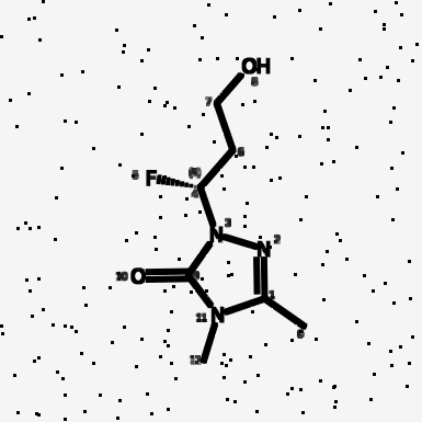 Cc1nn([C@H](F)CCO)c(=O)n1C